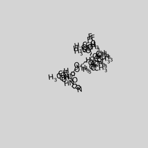 CC(C)(C)OC(=O)NCC(C(=O)Nc1ccc2cnccc2c1)c1ccc(COC(=O)CCC/C=C/C[C@@H]2[C@@H](/C=C/[C@H](COc3cccc(C(F)(F)F)c3)O[Si](C)(C)C(C)(C)C)[C@H](O[Si](C)(C)C(C)(C)C)C[C@@H]2O[Si](C)(C)C(C)(C)C)cc1